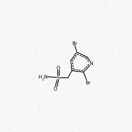 NS(=O)(=O)Cc1cc(Br)cnc1Br